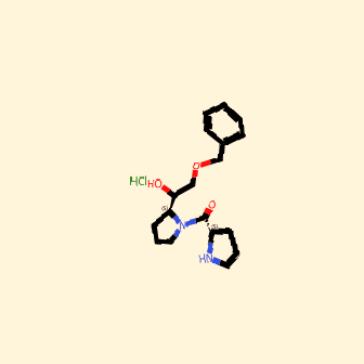 Cl.O=C([C@@H]1CCCN1)N1CCC[C@H]1C(O)COCc1ccccc1